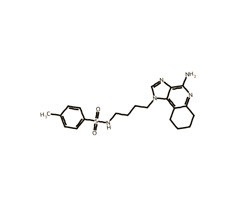 Cc1ccc(S(=O)(=O)NCCCCn2cnc3c(N)nc4c(c32)CCCC4)cc1